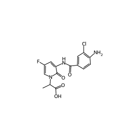 CC(C(=O)O)n1cc(F)cc(NC(=O)c2ccc(N)c(Cl)c2)c1=O